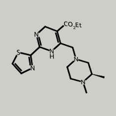 CCOC(=O)C1=C(CN2CCN(C)[C@H](C)C2)NC(c2nccs2)=NC1